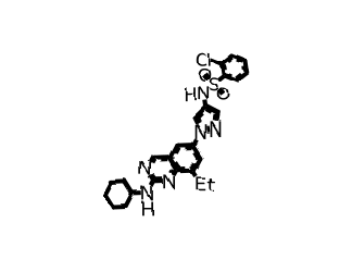 CCc1cc(-n2cc(NS(=O)(=O)c3ccccc3Cl)cn2)cc2cnc(NC3CCCCC3)nc12